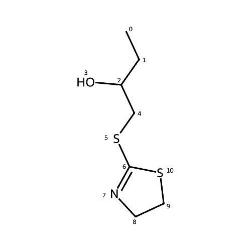 CCC(O)CSC1=NCCS1